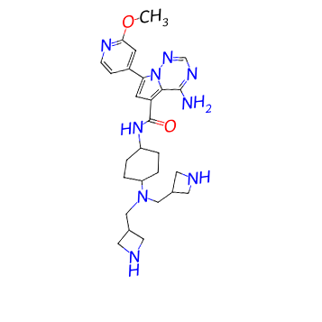 COc1cc(-c2cc(C(=O)NC3CCC(N(CC4CNC4)CC4CNC4)CC3)c3c(N)ncnn23)ccn1